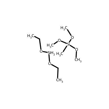 CCO[SiH2]OCC.CO[Si](C)(OC)OC